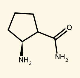 NC(=O)C1CCC[C@@H]1N